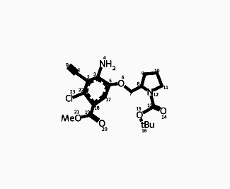 C#Cc1c(N)c(OCC2CCCN2C(=O)OC(C)(C)C)cc(C(=O)OC)c1Cl